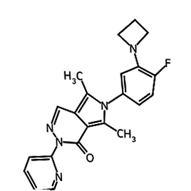 Cc1c2cnn(-c3ccccn3)c(=O)c2c(C)n1-c1ccc(F)c(N2CCC2)c1